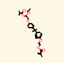 C=C(C)C(=O)OCCOc1ccc(C(C)(C)c2ccc(OCC(OCC)OC(=O)C(=C)C)cc2)cc1